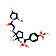 CC1(C)[C@@H](C(c2ccc(S(C)(=O)=O)cc2)=S(=O)=O)CC[C@@]1(C)NCC(=O)N1C[C@@H](F)C[C@H]1C#N